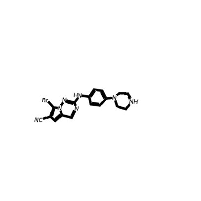 N#Cc1cc2cnc(Nc3ccc(N4CCNCC4)cc3)nn2c1Br